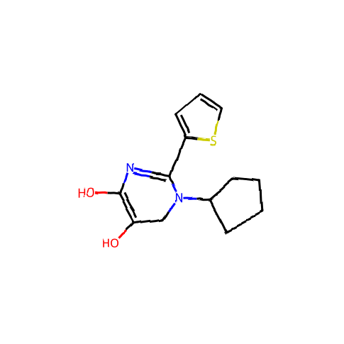 OC1=C(O)N=C(c2cccs2)N(C2CCCC2)C1